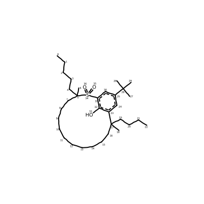 CCCCCC1(C)CCCCCCCCCCC(C)(CCCC)c2cc(C(C)(C)C)cc(c2O)S1(=O)=O